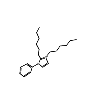 CCCCCCc1n(-c2ccccc2)cc[n+]1CCCCCC